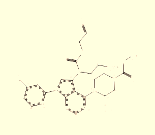 C=CCOC(=O)N(CCOC)c1cn(-c2cc(Cl)ccn2)c2ncnc(N3CCN(C(=O)OC(C)(C)C)C[C@@H]3C)c12